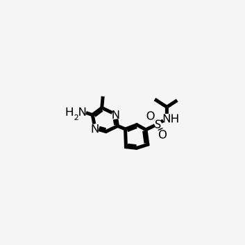 Cc1nc(-c2cccc(S(=O)(=O)NC(C)C)c2)cnc1N